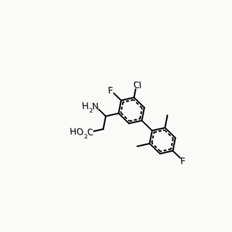 Cc1cc(F)cc(C)c1-c1cc(Cl)c(F)c(C(N)CC(=O)O)c1